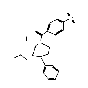 CCC[C@@H]1[C@H](CC)N(C(=O)c2ccc(S(C)(=O)=O)cc2)CC[C@@]1(O)c1ccccc1